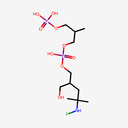 CC(COP(=O)(O)O)COP(=O)(O)OCC(CO)CC(C)(C)NF